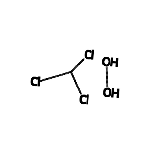 ClC(Cl)Cl.OO